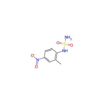 Cc1cc([N+](=O)[O-])ccc1NS(N)(=O)=O